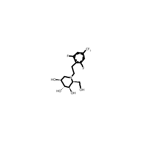 OC[C@H]1[C@@H](O)[C@H](O)[C@@H](O)CN1CCc1c(F)cc(C(F)(F)F)cc1F